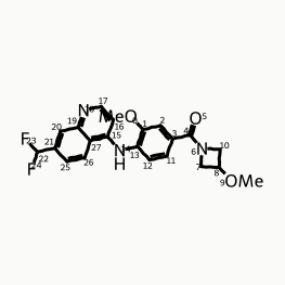 COc1cc(C(=O)N2CC(OC)C2)ccc1Nc1ccnc2cc(C(F)F)ccc12